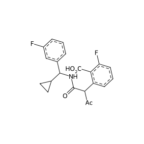 CC(=O)C(C(=O)NC(c1cccc(F)c1)C1CC1)c1cccc(F)c1C(=O)O